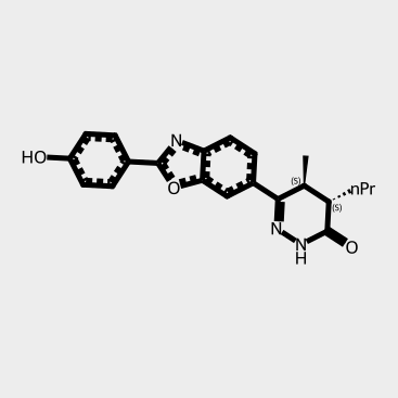 CCC[C@@H]1C(=O)NN=C(c2ccc3nc(-c4ccc(O)cc4)oc3c2)[C@H]1C